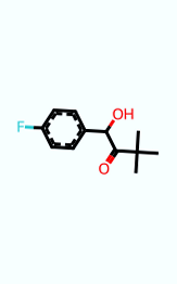 CC(C)(C)C(=O)C(O)c1ccc(F)cc1